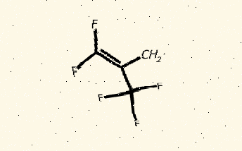 [CH2]C(=C(F)F)C(F)(F)F